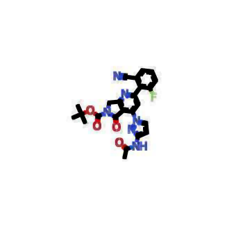 CC(=O)Nc1ccn(-c2cc(-c3c(F)cccc3C#N)nc3c2C(=O)N(C(=O)OC(C)(C)C)C3)n1